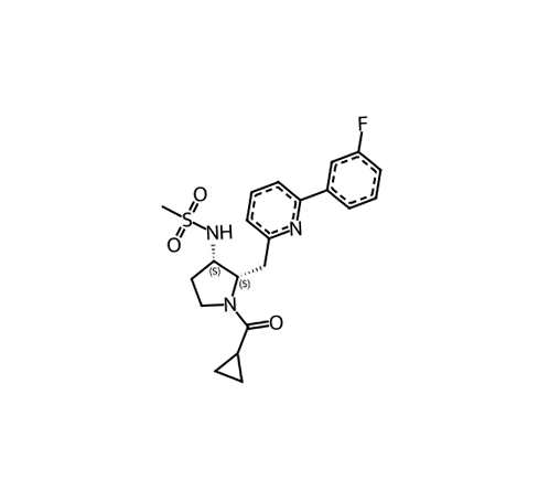 CS(=O)(=O)N[C@H]1CCN(C(=O)C2CC2)[C@H]1Cc1cccc(-c2cccc(F)c2)n1